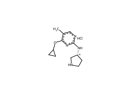 Cc1cnc(N[C@@H]2CCNC2)nc1OC1CC1.Cl